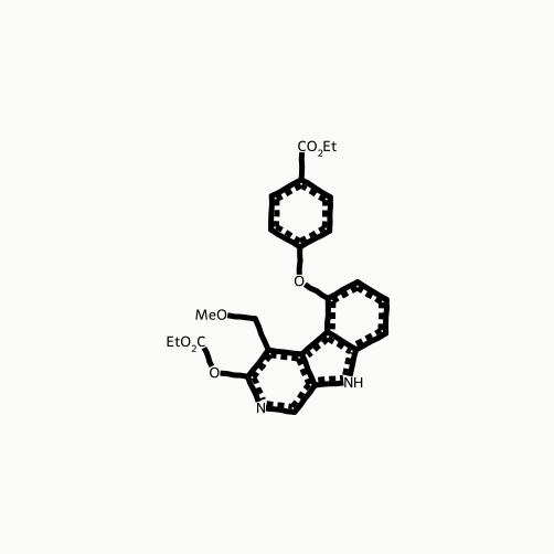 CCOC(=O)Oc1ncc2[nH]c3cccc(Oc4ccc(C(=O)OCC)cc4)c3c2c1COC